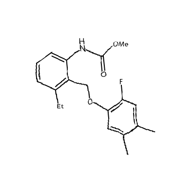 CCc1cccc(NC(=O)OC)c1COc1cc(C)c(C)cc1F